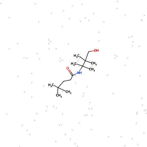 CC(C)(C)CCC(=O)NC(C)(C)C(C)(C)CO